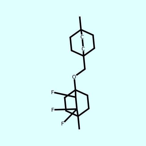 CC12CCC(COC34CCC(C)(CC3)C(F)(F)C4F)(CC1)CC2